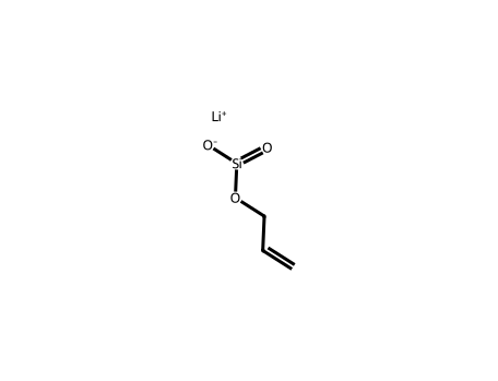 C=CCO[Si](=O)[O-].[Li+]